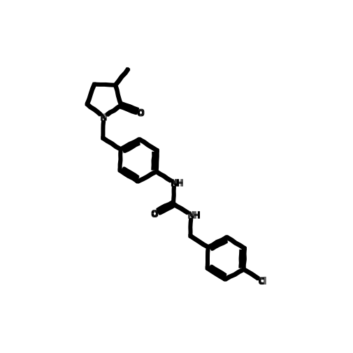 CC1CCN(Cc2ccc(NC(=O)NCc3ccc(Cl)cc3)cc2)C1=O